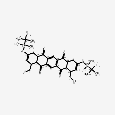 COC1C=C(O[Si](C)(C)C(C)(C)C)CC2C(=O)c3cc4c(cc3C(=O)C12)C(=O)C1C(OC)C=C(O[Si](C)(C)C(C)(C)C)CC1C4=O